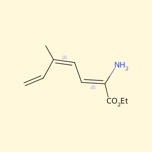 C=C/C(C)=C\C=C(/N)C(=O)OCC